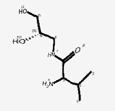 CC(C)C(N)C(=O)NC[C@H](O)CO